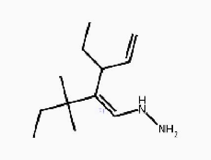 C=CC(CC)/C(=C\NN)C(C)(C)CC